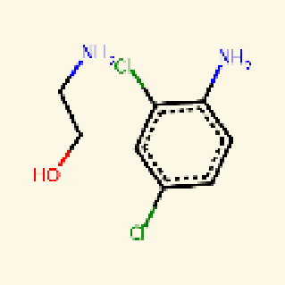 NCCO.Nc1ccc(Cl)cc1Cl